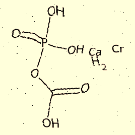 O=C(O)OP(=O)(O)O.[CaH2].[Cr]